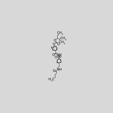 CCCCC(=O)NCCc1ccc(S(=O)(=O)NC(=O)c2ccc(OC(=O)OC(CCC)C(C)C)nc2)cc1